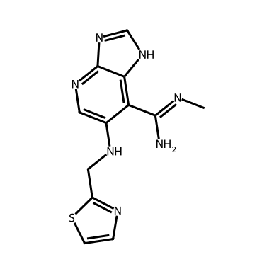 CN=C(N)c1c(NCc2nccs2)cnc2nc[nH]c12